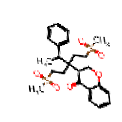 CC(c1ccccc1)C(CCS(C)(=O)=O)(CCS(C)(=O)=O)C1COc2ccccc2C1=O